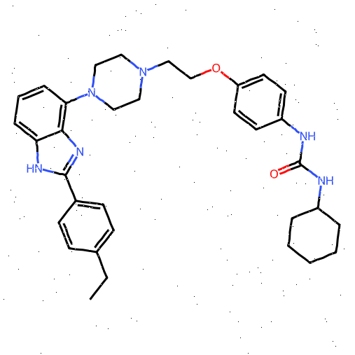 CCc1ccc(-c2nc3c(N4CCN(CCOc5ccc(NC(=O)NC6CCCCC6)cc5)CC4)cccc3[nH]2)cc1